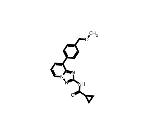 COCc1ccc(-c2cccn3nc(NC(=O)C4CC4)nc23)cc1